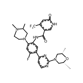 CC1CN(c2cc(F)c(-c3ccnc(N4C[C@@H](C)O[C@@H](C)C4)n3)cc2NC(=O)c2c[nH]c(=O)cc2C(F)(F)F)CCN1C